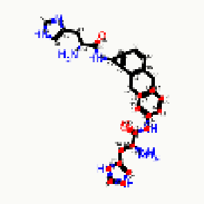 N[C@@H](Cc1c[nH]cn1)C(=O)Nc1ccc2c(c1)C1c3cc(NC(=O)[C@@H](N)Cc4cnc[nH]4)ccc3C2c2ccc3c(c21)C3NC(=O)[C@@H](N)Cc1c[nH]cn1